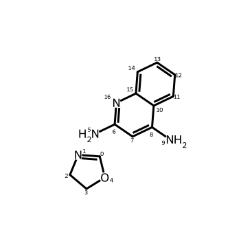 C1=NCCO1.Nc1cc(N)c2ccccc2n1